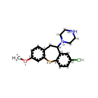 COc1ccc2c(c1)Sc1ccc(Cl)cc1C(N1CCNCC1)C2